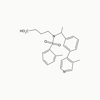 Cc1cnccc1-c1cccc(C(C)N(CCCC(=O)O)S(=O)(=O)c2ccccc2C)c1